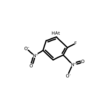 O=[N+]([O-])c1ccc(F)c([N+](=O)[O-])c1.[AtH]